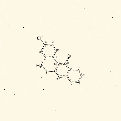 NCc1nc2ccccc2c(=O)n1-c1ccc(Cl)cc1